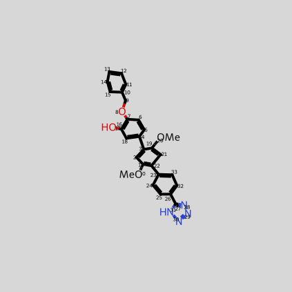 COc1cc(-c2ccc(OCc3ccccc3)c(O)c2)c(OC)cc1-c1ccc(-c2nnn[nH]2)cc1